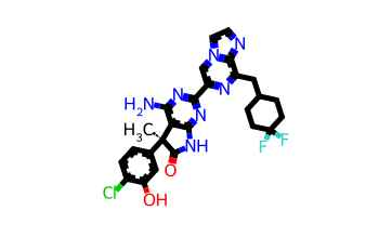 C[C@@]1(c2ccc(Cl)c(O)c2)C(=O)Nc2nc(-c3cn4ccnc4c(CC4CCC(F)(F)CC4)n3)nc(N)c21